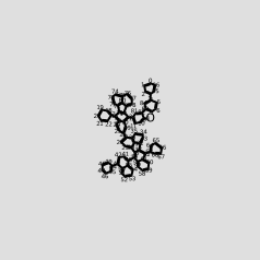 c1ccc(-c2ccc3oc4ccc(-c5c6c(c(-c7ccccc7)c7ccc(-c8ccc9c%10c(cccc8%10)-c8c-9c(-c9ccc(-c%10ccccc%10)c%10ccccc9%10)c9ccccc9c8-c8ccccc8)cc57)-c5cccc7cccc-6c57)cc4c3c2)cc1